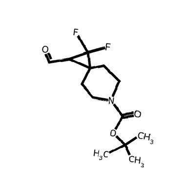 CC(C)(C)OC(=O)N1CCC2(CC1)C(C=O)C2(F)F